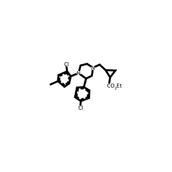 CCOC(=O)C1CC1CN1CCN(c2ccc(C)cc2Cl)C(c2ccc(Cl)cc2)C1